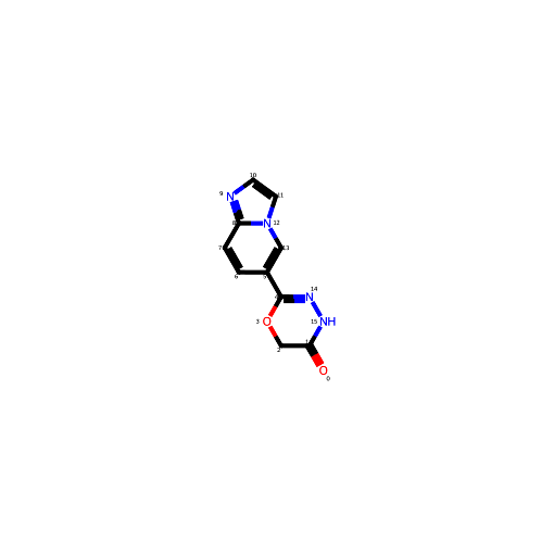 O=C1COC(c2ccc3nccn3c2)=NN1